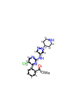 COC(=O)c1ccccc1-c1nc(Nc2cnn(C3CCNCC3)c2)ncc1Cl